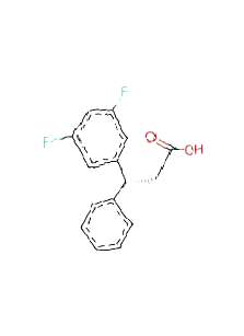 O=C(O)C[C@H](c1ccccc1)c1cc(F)cc(F)c1